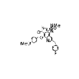 CNS(=O)(=O)N(C)c1c2c(c(OCc3ccc(OC)cc3)c3ncc(Cc4ccc(F)cc4)cc13)C(=O)N(C)C2